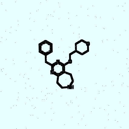 c1ccc(Cc2nc3c(c(OCC4CCOCC4)n2)CCNCC3)cc1